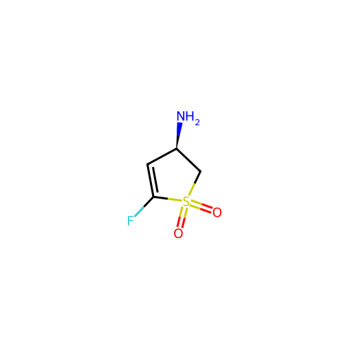 N[C@@H]1C=C(F)S(=O)(=O)C1